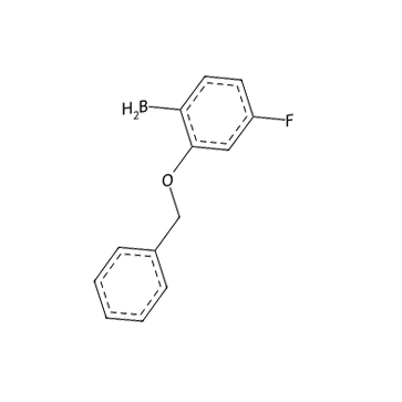 Bc1ccc(F)cc1OCc1ccccc1